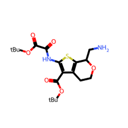 CC(C)(C)OC(=O)C(=O)Nc1sc2c(c1C(=O)OC(C)(C)C)CCOC2CN